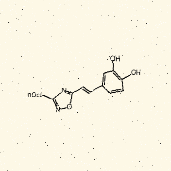 CCCCCCCCc1noc(C=Cc2ccc(O)c(O)c2)n1